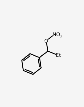 CCC(O[N+](=O)[O-])c1ccccc1